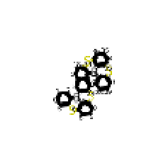 c1ccc2c(c1)Sc1cccc3c1B2c1cc2ccc4c(c2cc1S3)B1c2ccccc2Sc2cccc(c21)S4